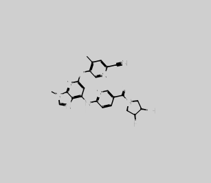 Cc1cc(C#N)ncc1Oc1cc(Nc2ccc(C(=O)N3CC(O)C(F)C3)cn2)c2ncn(C)c2n1